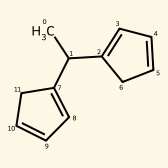 CC(C1=CC=CC1)C1=CC=CC1